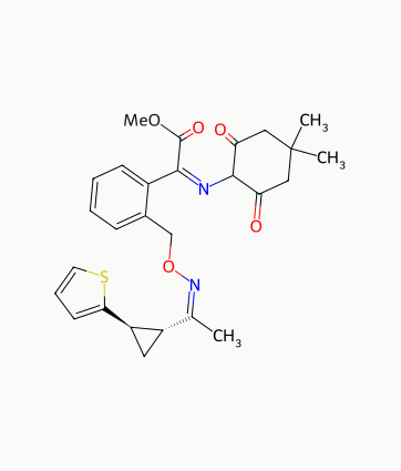 COC(=O)C(=NC1C(=O)CC(C)(C)CC1=O)c1ccccc1CON=C(C)[C@@H]1C[C@H]1c1cccs1